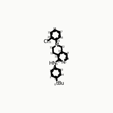 CC(C)(C)c1ccc(Nc2nccc3c2CCN(c2ccccc2Cl)C3)cc1